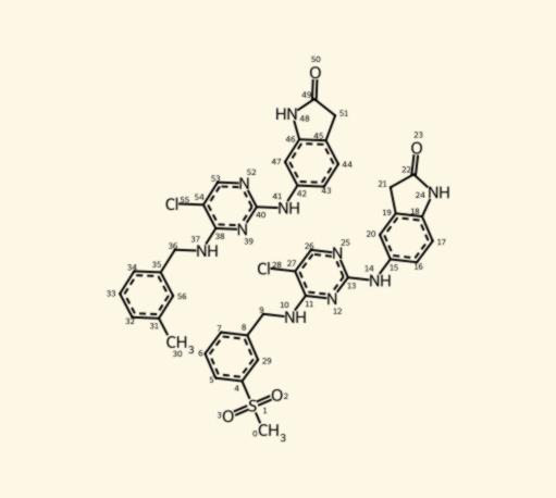 CS(=O)(=O)c1cccc(CNc2nc(Nc3ccc4c(c3)CC(=O)N4)ncc2Cl)c1.Cc1cccc(CNc2nc(Nc3ccc4c(c3)NC(=O)C4)ncc2Cl)c1